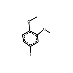 [Li][c]1ccc(OC)c(OC)c1